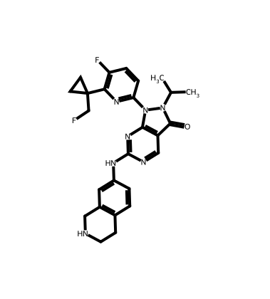 CC(C)n1c(=O)c2cnc(Nc3ccc4c(c3)CNCC4)nc2n1-c1ccc(F)c(C2(CF)CC2)n1